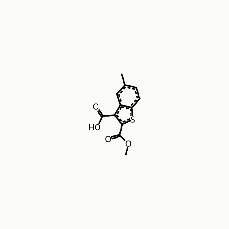 COC(=O)c1sc2ccc(C)cc2c1C(=O)O